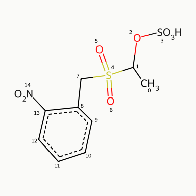 CC(OS(=O)(=O)O)S(=O)(=O)Cc1ccccc1[N+](=O)[O-]